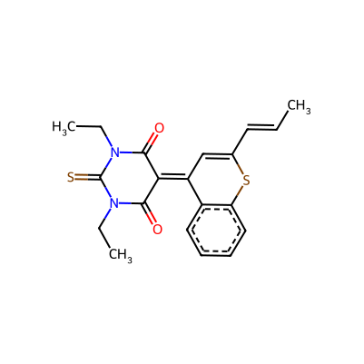 C/C=C/C1=CC(=C2C(=O)N(CC)C(=S)N(CC)C2=O)c2ccccc2S1